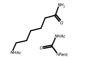 CC(=O)NCCCCCC(N)=O.CCCCCC(=O)NC(C)=O